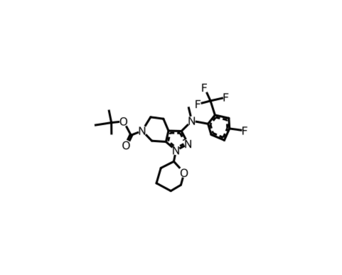 CN(c1ccc(F)cc1C(F)(F)F)c1nn(C2CCCCO2)c2c1CCN(C(=O)OC(C)(C)C)C2